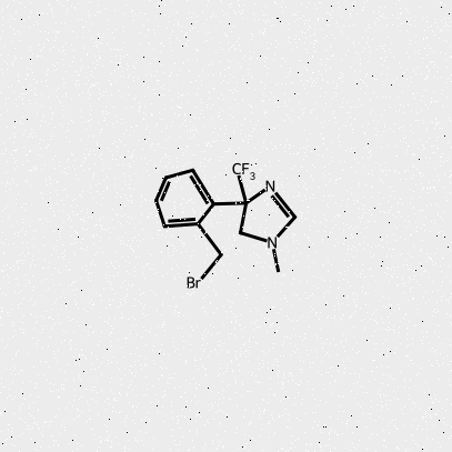 CN1C=NC(c2ccccc2CBr)(C(F)(F)F)C1